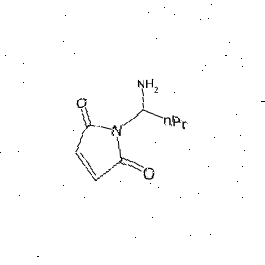 CCCC(N)N1C(=O)C=CC1=O